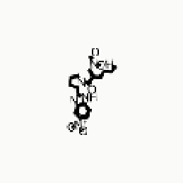 CCCCC(CN(O)C=O)C(=O)N1CCCC1c1nc2cc([N+](=O)[O-])ccc2[nH]1